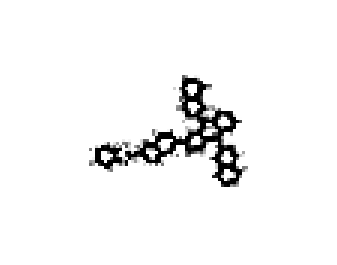 c1ccc2cc(-c3c4ccccc4c(-c4ccc5ccccc5c4)c4cc(-c5ccc6cc(-c7nc8ccccc8s7)ccc6c5)ccc34)ccc2c1